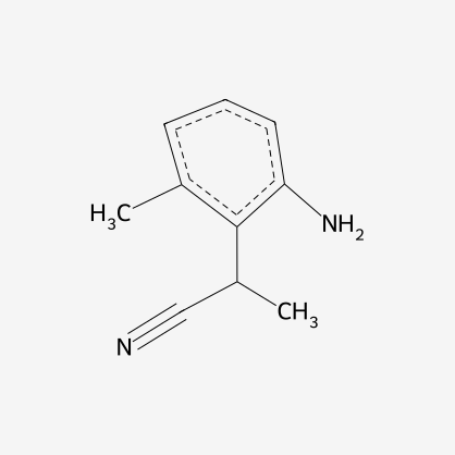 Cc1cccc(N)c1C(C)C#N